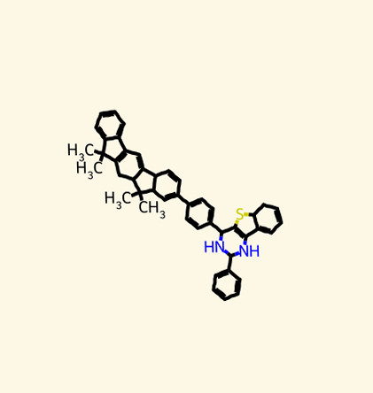 CC1(C)C2=C(C=C3C4C=CC(c5ccc(C6NC(c7ccccc7)NC7=C6SC6CC=CC=C76)cc5)=CC4C(C)(C)C3C2)c2ccccc21